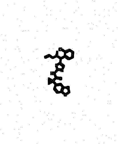 C=CCN(C)C(c1cnc(NC(=O)C2(c3ccc4c(c3)OCO4)CC2)s1)c1ccccc1Cl